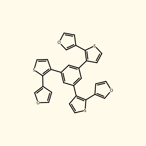 c1cc(-c2sccc2-c2cc(-c3ccsc3-c3ccoc3)cc(-c3ccsc3-c3ccoc3)c2)co1